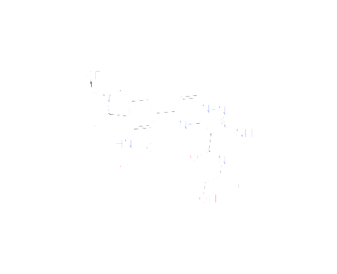 CC[C@H](CO)NC(=O)c1c(N)nn2ccc(-c3cc4c(c(NS(C)(=O)=O)c3)C(=O)N([C@@H](C)C(F)(F)F)C4)nc12